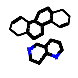 C1=Cc2c(ccc3c4c(ccc23)CCC=C4)CC1.c1cnc2ccncc2c1